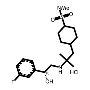 CNS(=O)(=O)C1CCC(CC(C)(C)NC[C@H](O)c2cccc(F)c2)CC1.Cl